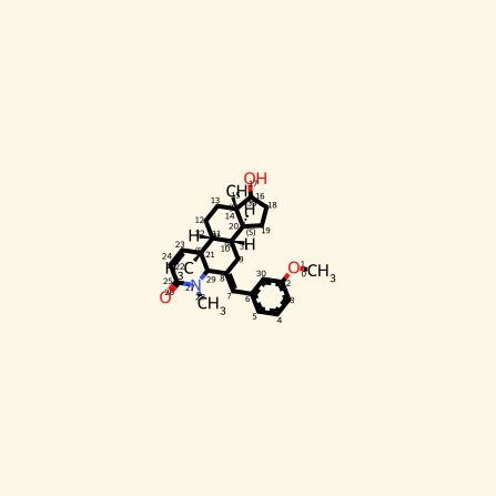 COc1cccc(C=C2C[C@@H]3[C@@H](CC[C@]4(C)C(O)CC[C@@H]34)[C@@]3(C)C=CC(=O)N(C)C23)c1